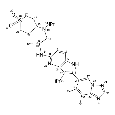 Cc1c(-c2[nH]c3ccc(N[C@H](C)CN(C(C)C)C4CCS(=O)(=O)CC4)nc3c2C(C)C)cn2ncnc2c1C